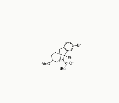 CCC1(N[S+]([O-])C(C)(C)C)c2cc(Br)ccc2CC12CCC(OC)CC2